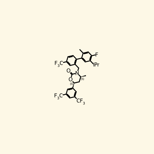 Cc1cc(F)c(C(C)C)cc1-c1ccc(C(F)(F)F)cc1CN1C(=O)O[C@H](c2cc(C(F)(F)F)cc(C(F)(F)F)c2)C[C@@H]1C